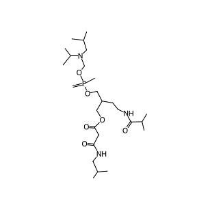 C=P(C)(OCC(CCNC(=O)C(C)C)COC(=O)CC(=O)NCC(C)C)OCN(CC(C)C)C(C)C